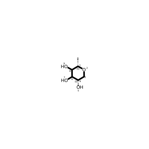 C[C@@H]1OC[C@H](O)C(O)C1O